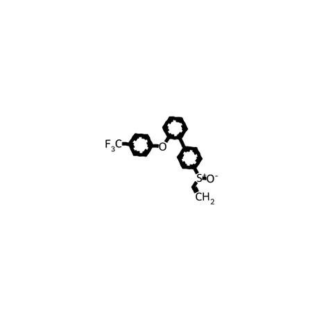 C=C[S+]([O-])c1ccc(-c2ccccc2Oc2ccc(C(F)(F)F)cc2)cc1